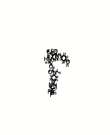 CCN(C(=O)COC[C@H](C)Nc1cnn(Cc2ccc(OC)cc2)c(=O)c1C(F)(F)F)C1CCN(c2ncc(C(F)(F)F)cn2)CC1